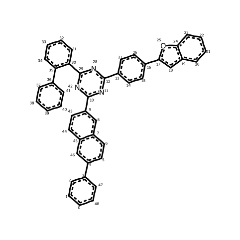 c1ccc(-c2ccc3cc(-c4nc(-c5ccc(-c6cc7ccccc7o6)cc5)nc(-c5ccccc5-c5ccccc5)n4)ccc3c2)cc1